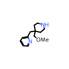 COCC1(Cc2ccccn2)CCNCC1